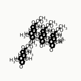 CC(=O)OCC(=O)[C@@]1(O)CC[C@H]2[C@@H]3C[C@H](C)C4=CC(=O)C=C[C@]4(C)[C@H]3[C@@H](O)C[C@@]21C.CC(=O)OCC(=O)[C@@]1(O)CC[C@H]2[C@@H]3C[C@H](C)C4=CC(=O)C=C[C@]4(C)[C@H]3[C@@H](O)C[C@@]21C.CC(=O)OCC(=O)[C@@]1(O)CC[C@H]2[C@@H]3C[C@H](C)C4=CC(=O)C=C[C@]4(C)[C@H]3[C@@H](O)C[C@@]21C.CC(=O)OCC(=O)[C@@]1(O)CC[C@H]2[C@@H]3C[C@H](C)C4=CC(=O)C=C[C@]4(C)[C@H]3[C@@H](O)C[C@@]21C.[S-2].[S-2]